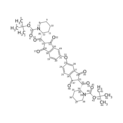 CC(C)(C)OC(=O)N1CCCC[C@@H]1C(=O)C1C(=O)c2ccc(Oc3ccc4c(c3)C(=O)C(C(=O)[C@H]3CCCCN3C(=O)OC(C)(C)C)C4=O)cc2C1=O